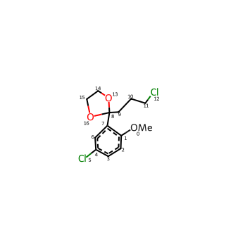 COc1ccc(Cl)cc1C1(CCCCl)OCCO1